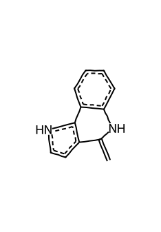 C=C1Nc2ccccc2-c2[nH]ccc21